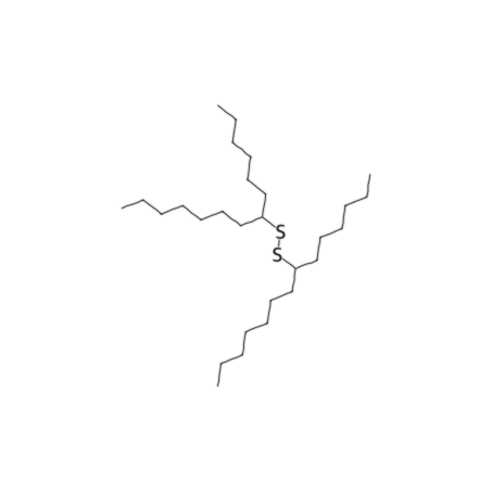 CCCCCCCC(CCCCCC)SSC(CCCCCC)CCCCCCC